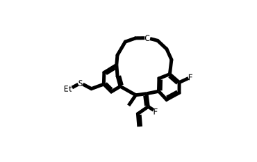 C=C/C(F)=C1/c2ccc(F)c(c2)CCCCCCCc2cc(CSCC)cc(c2)C1C